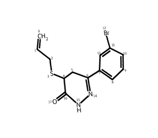 C=CCSC1CC(c2cccc(Br)c2)=NNC1=O